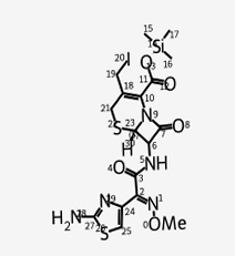 CON=C(C(=O)NC1C(=O)N2C(C(=O)O[Si](C)(C)C)=C(CI)CS[C@@H]12)c1csc(N)n1